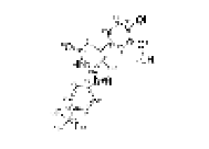 COc1cc(C2CC(=O)Nc3c2cnn3-c2ccc(C(F)(F)F)cc2)ccc1O